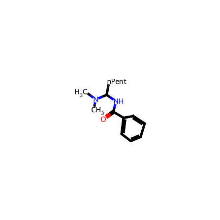 CCCCCC(NC(=O)c1[c]cccc1)N(C)C